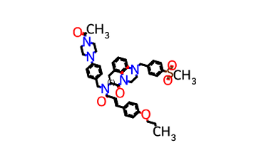 CCCOc1ccc(C=CC(=O)N(Cc2ccc(N3CCN(C(C)=O)CC3)cc2)[C@@H](Cc2ccccc2)C(=O)N2CCN(Cc3ccc(S(C)(=O)=O)cc3)CC2)cc1